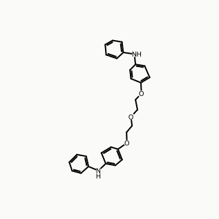 c1ccc(Nc2ccc(OCCOCCOc3ccc(Nc4ccccc4)cc3)cc2)cc1